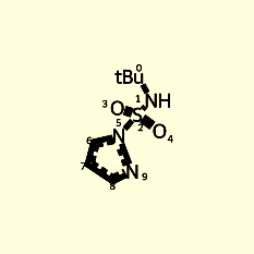 CC(C)(C)NS(=O)(=O)n1cccn1